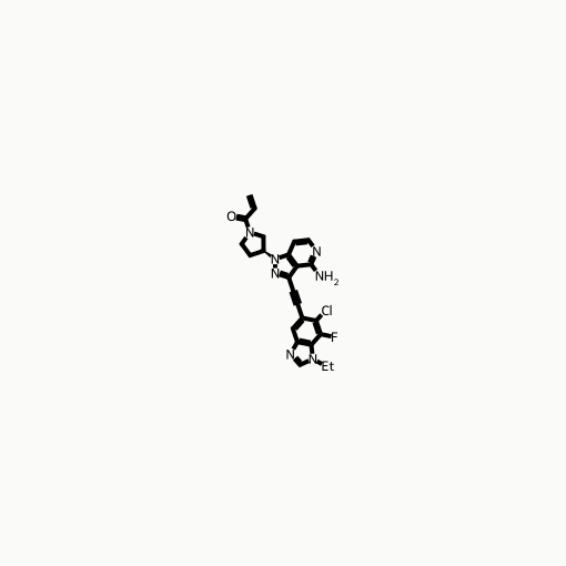 C=CC(=O)N1CC[C@H](n2nc(C#Cc3cc4ncn(CC)c4c(F)c3Cl)c3c(N)nccc32)C1